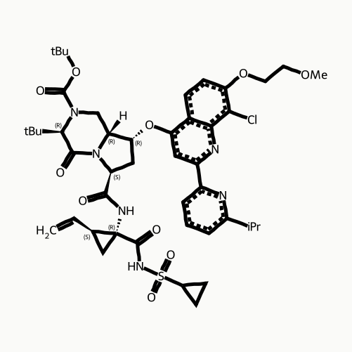 C=C[C@@H]1C[C@]1(NC(=O)[C@@H]1C[C@@H](Oc2cc(-c3cccc(C(C)C)n3)nc3c(Cl)c(OCCOC)ccc23)[C@H]2CN(C(=O)OC(C)(C)C)[C@H](C(C)(C)C)C(=O)N21)C(=O)NS(=O)(=O)C1CC1